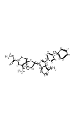 C=CC(=O)N1CCC2(CC(n3nc(-c4ccc(Oc5ccccc5)cc4)c4c(N)ncnc43)CO2)C(C)C1